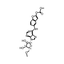 COC[C@H]1O[C@@H](n2cnc3c(Nc4ccc5oc(OC(=O)OC)cc5c4)ncnc32)[C@H](O)[C@@H]1O